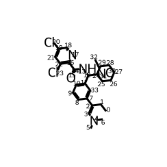 CC/C(=C\N(C)C)c1cccc(C(NC(=O)c2ncc(Cl)cc2Cl)C23CCC(CC2)CN3C)c1